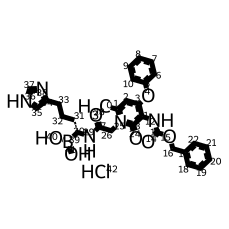 Cc1cc(Oc2ccccc2)c(NC(=O)OCc2ccccc2)c(=O)n1CC(=O)N[C@@H](CCCc1c[nH]cn1)B(O)O.Cl